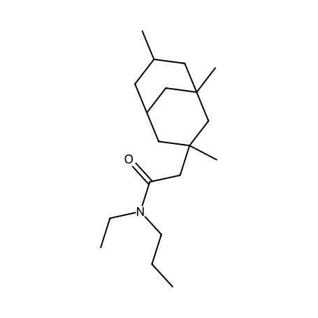 CCCN(CC)C(=O)CC1(C)CC2CC(C)CC(C)(C2)C1